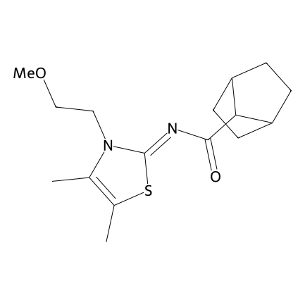 COCCn1c(C)c(C)s/c1=N\C(=O)C1C2CCC1CC2